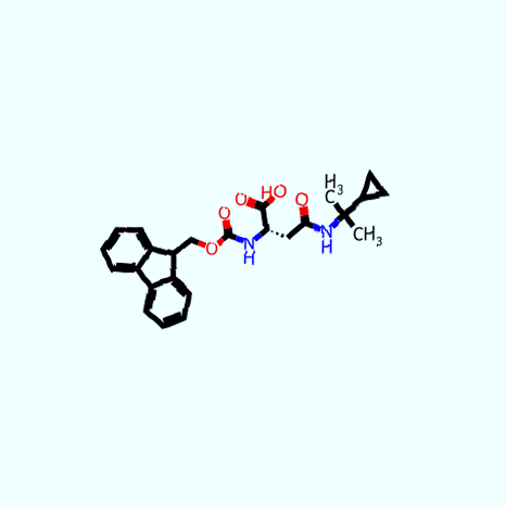 CC(C)(NC(=O)C[C@H](NC(=O)OCC1c2ccccc2-c2ccccc21)C(=O)O)C1CC1